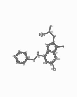 Cc1c(C[C@H](C)N)sc2c(NCc3ccncc3)nc(Cl)nc12